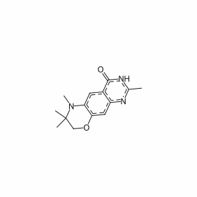 Cc1nc2cc3c(cc2c(=O)[nH]1)N(C)C(C)(C)CO3